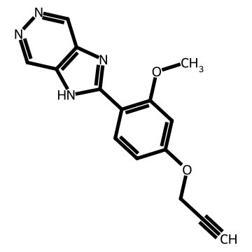 C#CCOc1ccc(-c2nc3cnncc3[nH]2)c(OC)c1